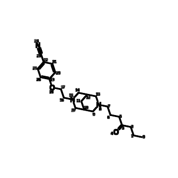 CCCC(=O)CCCN1CC2CC(C1)CN(CCOc1ccc(C#N)cc1)C2